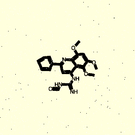 COc1cc(OC)c2nc(-c3ccccc3)cc(NC(=N)NC=O)c2c1OC